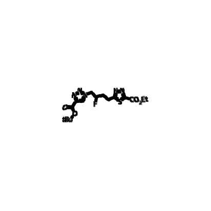 CCOC(=O)c1nnc(CCC(F)Cn2cc(C(=O)OC(C)(C)C)nn2)s1